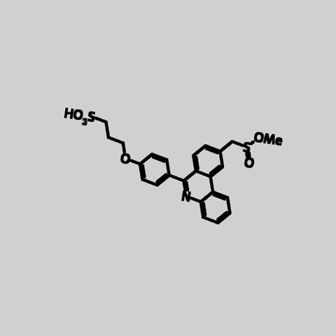 COS(=O)Cc1ccc2c(-c3ccc(OCCCS(=O)(=O)O)cc3)nc3ccccc3c2c1